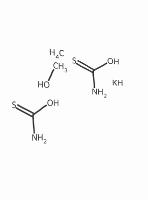 C.CO.NC(O)=S.NC(O)=S.[KH]